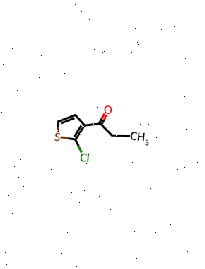 CCC(=O)c1ccsc1Cl